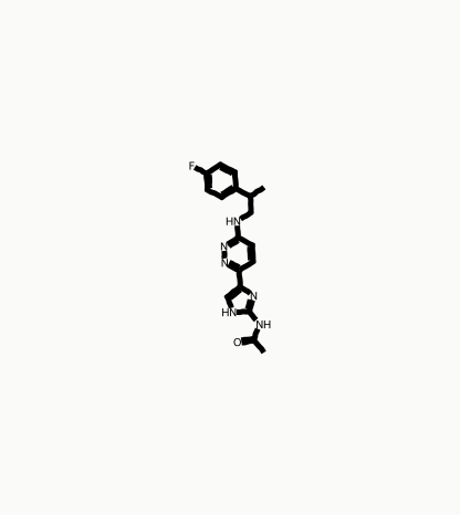 CC(=O)Nc1nc(-c2ccc(NCC(C)c3ccc(F)cc3)nn2)c[nH]1